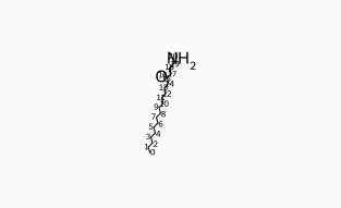 CCCCCCCCCCCCCCCC(=O)C=CCN